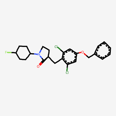 O=C1C(Cc2c(Cl)cc(OCc3ccccc3)cc2Cl)CCN1C1CCC(F)CC1